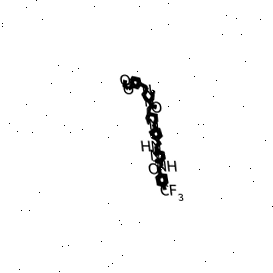 O=C(Nc1ccc(NCc2ccc(N3CCC(CC(=O)N4CCN(Cc5ccc6c(c5)OCO6)CC4)CC3)cc2)nc1)c1ccc(C(F)(F)F)cc1